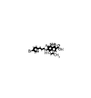 CC1COc2c(NCCCc3ccc(Br)cn3)c(F)c(N)c3c(=O)c(C(=O)O)cn1c23